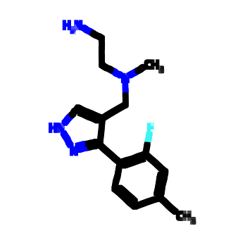 Cc1ccc(-c2n[nH]cc2CN(C)CCN)c(F)c1